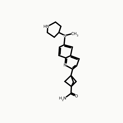 CN(c1ccc2nc(C34CC(C(N)=O)(C3)C4)ccc2c1)C1CCNCC1